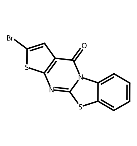 O=c1c2cc(Br)sc2nc2sc3ccccc3n12